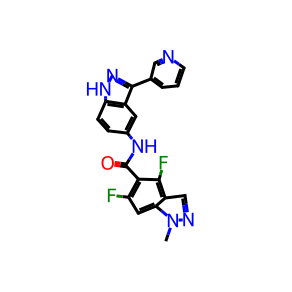 Cn1ncc2c(F)c(C(=O)Nc3ccc4[nH]nc(-c5cccnc5)c4c3)c(F)cc21